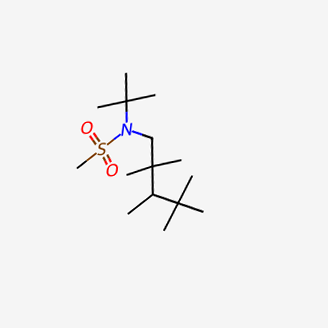 CC(C(C)(C)C)C(C)(C)CN(C(C)(C)C)S(C)(=O)=O